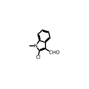 Cn1c(Cl)c(C=O)c2ccccc21